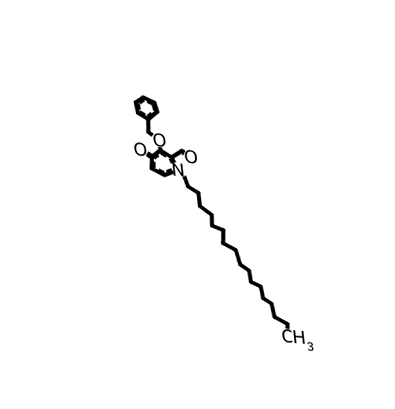 CCCCCCCCCCCCCCCCCCn1ccc(=O)c(OCc2ccccc2)c1C=O